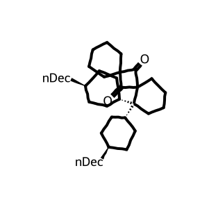 CCCCCCCCCC[C@H]1CC[C@H](C2([C@H]3CC[C@H](CCCCCCCCCC)CC3)CCCCC23C(=O)C2(CCCCC2)C3=O)CC1